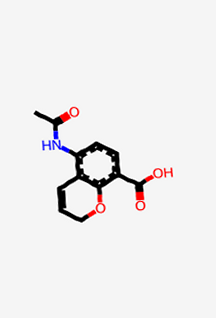 CC(=O)Nc1ccc(C(=O)O)c2c1C=CCO2